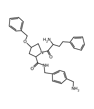 NCc1ccc(CNC(=O)C2CC(OCc3ccccc3)CN2C(=O)C(N)CCc2ccccc2)cc1